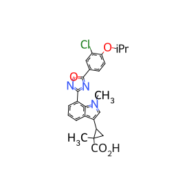 CC(C)Oc1ccc(-c2nc(-c3cccc4c(C5CC5(C)C(=O)O)cn(C)c34)no2)cc1Cl